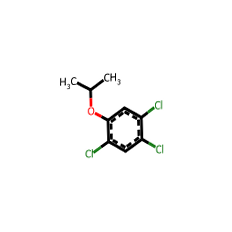 CC(C)Oc1cc(Cl)c(Cl)cc1Cl